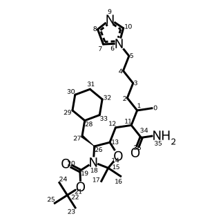 CC(CCCCn1ccnc1)C(CC1OC(C)(C)N(C(=O)OC(C)(C)C)[C@H]1CC1CCCCC1)C(N)=O